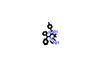 Cc1ccc(-c2nc(C(C(c3ccccc3)c3ccccc3)N3CCNCC3)c(C(C)(C)C)[nH]2)cc1